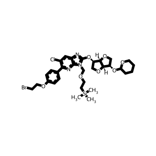 C[Si](C)(C)CCOCn1c(O[C@@H]2CO[C@H]3[C@@H]2OC[C@H]3OC2CCCCO2)nc2cc(Cl)c(-c3ccc(OCCBr)cc3)nc21